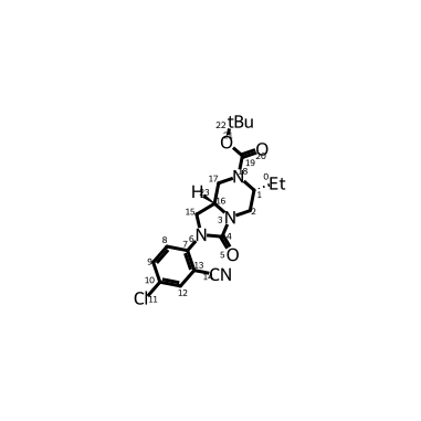 CC[C@@H]1CN2C(=O)N(c3ccc(Cl)cc3C#N)C[C@@H]2CN1C(=O)OC(C)(C)C